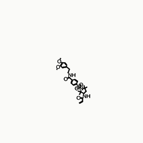 C=CC(=O)NC1CC(C)(C)N(S(=O)(=O)c2ccc(C(=O)NCCc3ccc(OC)c(OC)c3)cc2)C1(C)C